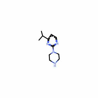 CC(C)c1ccnc(N2CCNCC2)n1